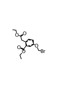 CCOC(=O)Cc1ccc(OCBr)cc1C(=O)OCC